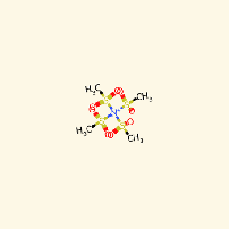 CS(=O)(=O)[N+](S(C)(=O)=O)(S(C)(=O)=O)S(C)(=O)=O